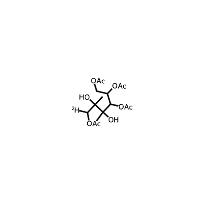 [2H]C(OC(C)=O)C(C)(O)C(C)(O)C(OC(C)=O)C(COC(C)=O)OC(C)=O